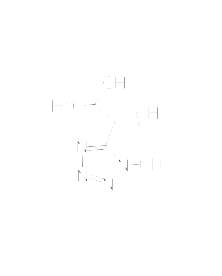 CC(C)[C@H](C)c1nnnn1C